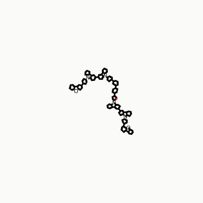 c1cc(-c2ccc(-c3ccc(-n4c5ccccc5c5cc(-c6ccc7c(c6)c6ccccc6n7-c6ccc(-c7cccc8c7oc7ccccc78)cc6)ccc54)cc3)cc2)cc(-c2ccc(-n3c4ccccc4c4cc(-c5ccc6c(c5)c5ccccc5n6-c5ccc(-c6ccc7oc8ccccc8c7c6)cc5)ccc43)cc2)c1